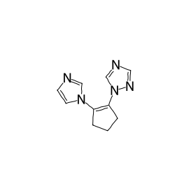 c1cn(C2=C(n3cncn3)CCC2)cn1